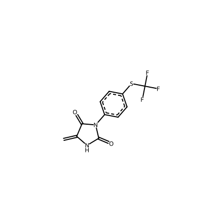 C=C1NC(=O)N(c2ccc(SC(F)(F)F)cc2)C1=O